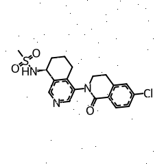 CS(=O)(=O)N[C@H]1CCCc2c1cncc2N1CCc2cc(Cl)ccc2C1=O